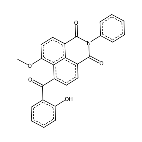 COc1ccc2c3c(ccc(C(=O)c4ccccc4O)c13)C(=O)N(c1ccccc1)C2=O